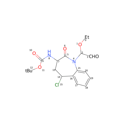 CCOC(C=O)N1C(=O)C(NC(=O)OC(C)(C)C)CC(Cl)c2ccccc21